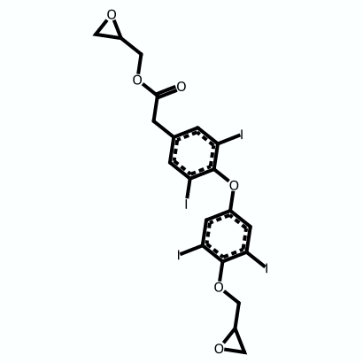 O=C(Cc1cc(I)c(Oc2cc(I)c(OCC3CO3)c(I)c2)c(I)c1)OCC1CO1